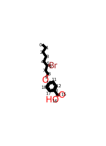 CCCCCC(Br)CCOc1ccc(C(=O)O)cc1